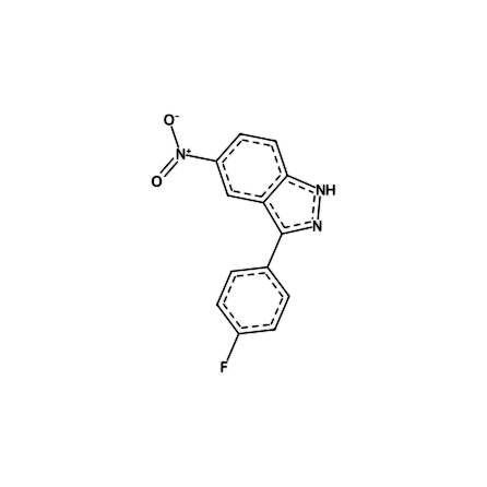 O=[N+]([O-])c1ccc2[nH]nc(-c3ccc(F)cc3)c2c1